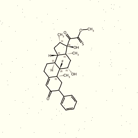 COC(=S)C(=O)[C@@]1(O)[C@@H](C)C[C@H]2[C@@H]3CCC4=CC(=O)C(c5ccccc5)C[C@]4(C)[C@@]3(F)[C@@H](O)C[C@@]21C